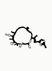 C/C1=C/CC(/C(C)=C/c2csc(C)n2)OC(=O)CNC(C)(C)C(=O)C(C)C(O)C(C)CCC1